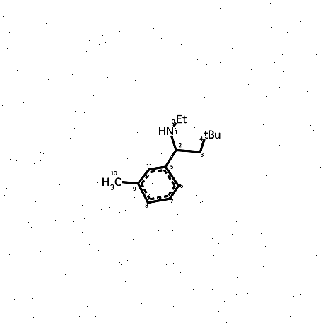 CCNC(CC(C)(C)C)c1cccc(C)c1